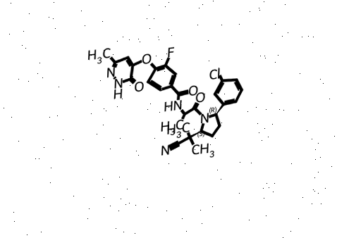 Cc1cc(Oc2ccc(C(=O)NC(C)C(=O)N3[C@@H](c4cccc(Cl)c4)CC[C@H]3C(C)(C)C#N)cc2F)c(=O)[nH]n1